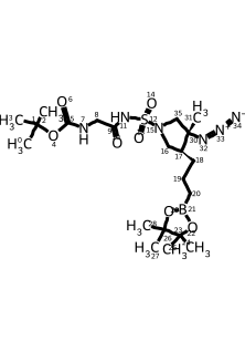 CC(C)(C)OC(=O)NCC(=O)NS(=O)(=O)N1C[C@H](CCCB2OC(C)(C)C(C)(C)O2)[C@@](C)(N=[N+]=[N-])C1